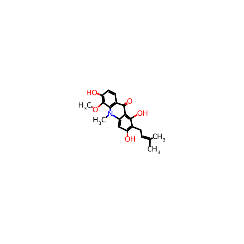 COc1c(O)ccc2c(=O)c3c(O)c(CC=C(C)C)c(O)cc3n(C)c12